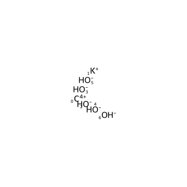 [C+4].[K+].[OH-].[OH-].[OH-].[OH-].[OH-]